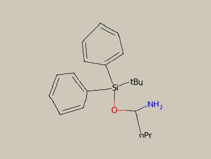 CCCC(N)O[Si](c1ccccc1)(c1ccccc1)C(C)(C)C